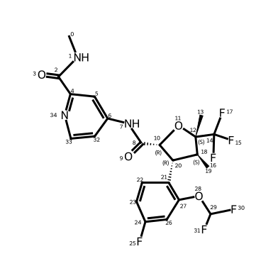 CNC(=O)c1cc(NC(=O)[C@@H]2O[C@](C)(C(F)(F)F)[C@@H](C)[C@@H]2c2ccc(F)cc2OC(F)F)ccn1